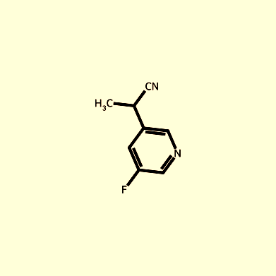 CC(C#N)c1cncc(F)c1